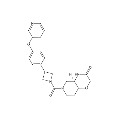 O=C1COC2CCN(C(=O)N3CC(c4ccc(Oc5cccnc5)cc4)C3)C[C@H]2N1